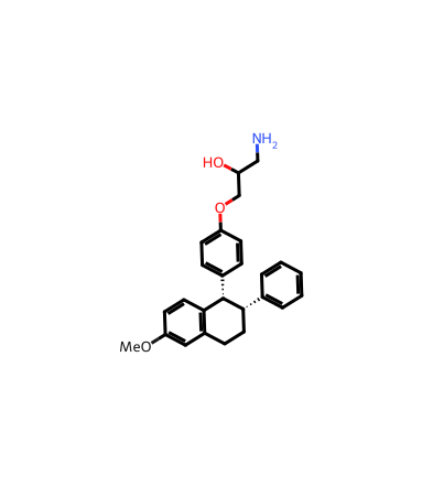 COc1ccc2c(c1)CC[C@@H](c1ccccc1)[C@H]2c1ccc(OCC(O)CN)cc1